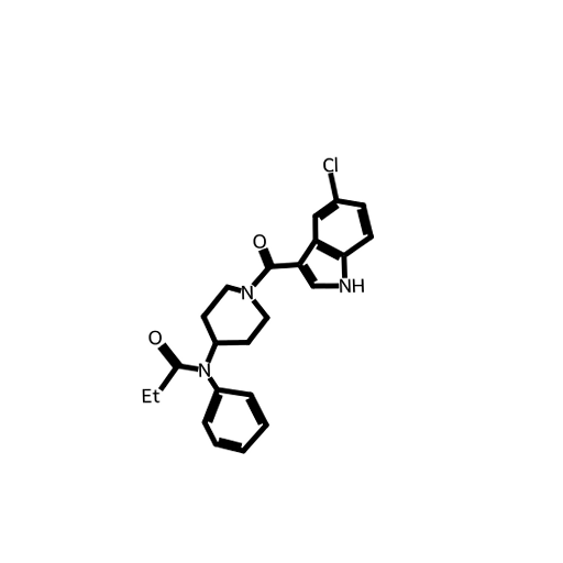 CCC(=O)N(c1ccccc1)C1CCN(C(=O)c2c[nH]c3ccc(Cl)cc23)CC1